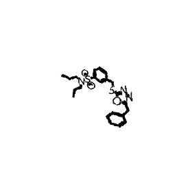 CCCN(CCC)S(=O)(=O)c1cccc(CSc2nnc(CC3=CCCC=C3)o2)c1